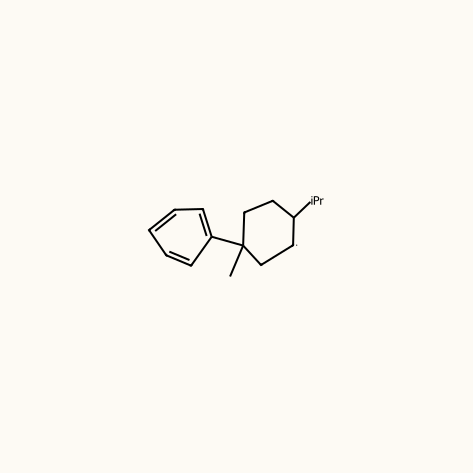 CC(C)C1[CH]CC(C)(c2ccccc2)CC1